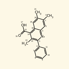 Cc1cc2nc(-c3ccccc3)c(C)c(C(=O)O)c2cc1C